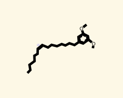 CCCCCC/C=C\CCCCCCCc1cc(OC)cc(OC)c1